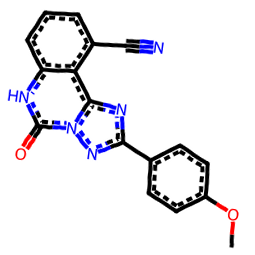 COc1ccc(-c2nc3c4c(C#N)cccc4[nH]c(=O)n3n2)cc1